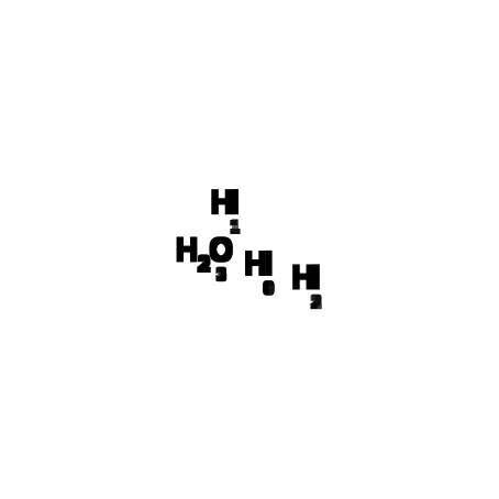 I.I.I.O